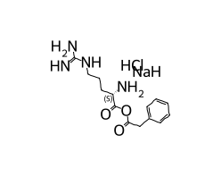 Cl.N=C(N)NCCC[C@H](N)C(=O)OC(=O)Cc1ccccc1.[NaH]